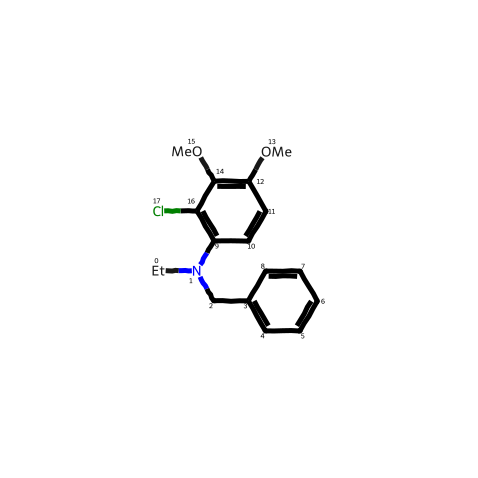 CCN(Cc1ccccc1)c1ccc(OC)c(OC)c1Cl